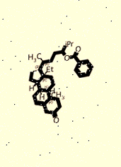 CC[C@]12CC[C@H]3[C@@H](CC=C4CC(=O)CC[C@@]43C)[C@@H]1CC[C@@H]2[C@H](C)CCC(OC(=O)c1ccccc1)C(C)C